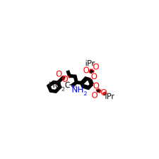 CC(C)OC(=O)Oc1ccc(C(CC(C)OC(=O)C2CCCCC2)[C@H](N)C(=O)O)cc1OC(=O)OC(C)C